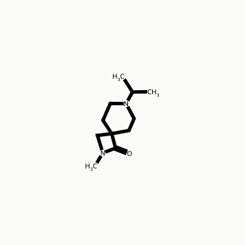 CC(C)N1CCC2(CC1)CN(C)C2=O